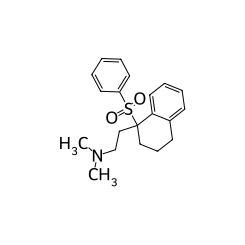 CN(C)CCC1(S(=O)(=O)c2ccccc2)CCCc2ccccc21